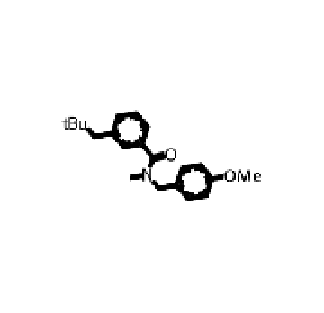 COc1ccc(CN(C)C(=O)c2cccc(CC(C)(C)C)c2)cc1